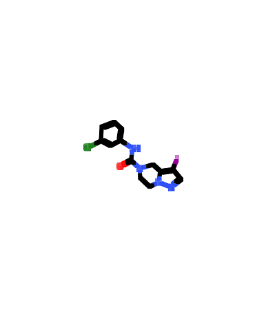 O=C(Nc1cccc(Cl)c1)N1CCn2ncc(I)c2C1